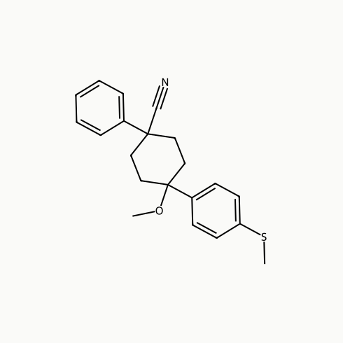 COC1(c2ccc(SC)cc2)CCC(C#N)(c2ccccc2)CC1